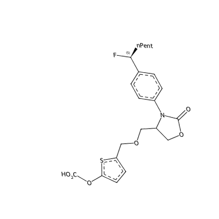 CCCCC[C@H](F)c1ccc(N2C(=O)OCC2COCc2ccc(OC(=O)O)s2)cc1